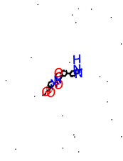 CCOC(=O)[C@H]1CCCN(C(=O)N2CCOc3ccc(-c4ccc5nc(C)[nH]c5c4)cc3C2)C1